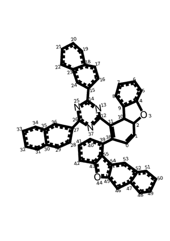 C1=CC2Oc3ccccc3C2C(c2nc(-c3ccc4ccccc4c3)nc(-c3ccc4ccccc4c3)n2)=C1c1cccc2oc3cc4ccccc4cc3c12